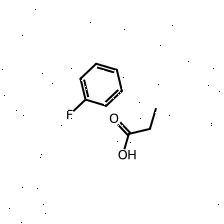 CCC(=O)O.Fc1ccccc1